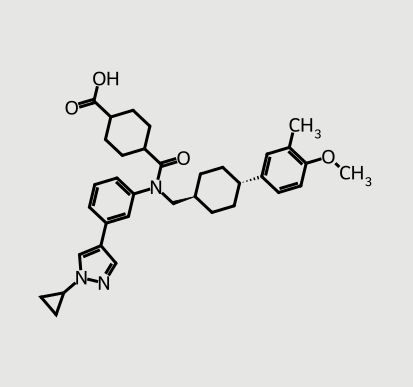 COc1ccc([C@H]2CC[C@H](CN(C(=O)C3CCC(C(=O)O)CC3)c3cccc(-c4cnn(C5CC5)c4)c3)CC2)cc1C